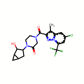 Cc1c(C(=O)N2CCN(C3CC4CC4C3O)C(=O)C2)nn2c(C(F)(F)F)cc(Cl)cc12